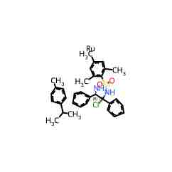 Cc1cc(C)c(S(=O)(=O)N[C@](Cl)(c2ccccc2)[C@H](N)c2ccccc2)c(C)c1.Cc1ccc(C(C)C)cc1.[Ru]